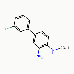 Nc1cc(-c2cccc(F)c2)ccc1NC(=O)O